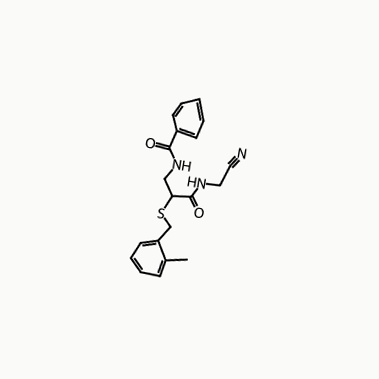 Cc1ccccc1CSC(CNC(=O)c1ccccc1)C(=O)NCC#N